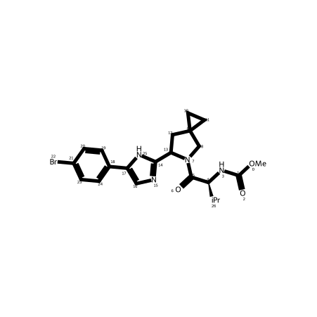 COC(=O)N[C@H](C(=O)N1CC2(CC2)CC1c1ncc(-c2ccc(Br)cc2)[nH]1)C(C)C